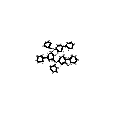 c1ccc(-c2ccc(N(c3ccccc3)c3cc(-c4ccccc4)cc(N(c4ccccc4)c4ccc5c(c4)oc4ccccc45)c3)cc2)cc1